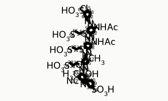 CC(=O)Nc1cc(N=Nc2cc(SCCCS(=O)(=O)O)c(N=Nc3cc(OCCCS(=O)(=O)O)c(N=Nc4c(C)c(C#N)c5nc6cc(S(=O)(=O)O)ccc6n5c4O)cc3C)cc2NC(C)=O)c(SCCCS(=O)(=O)O)cc1N=Nc1ccc(Cl)c(S(=O)(=O)O)c1